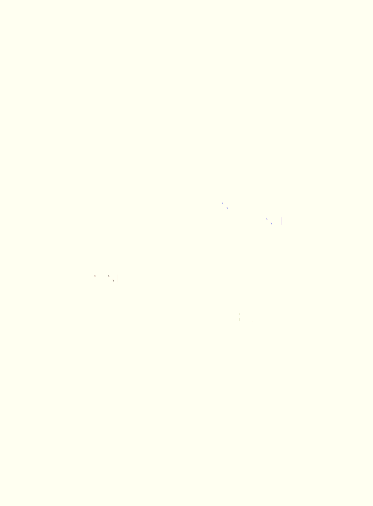 CC(=O)Nc1ccc2c(c1)CCCC2C1=NCCN1.Cl